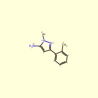 Cc1ccccc1-c1cc(N)n(C(C)C)n1